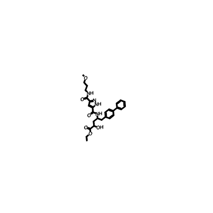 CCOC(=O)C(O)CC(Cc1ccc(-c2ccccc2)cc1)NC(=O)c1cc(C(=O)NCCCOC)n[nH]1